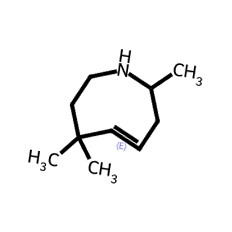 CC1C/C=C/C(C)(C)CCN1